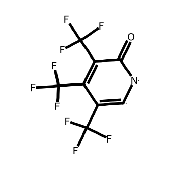 O=C1[N][C]=C(C(F)(F)F)C(C(F)(F)F)=C1C(F)(F)F